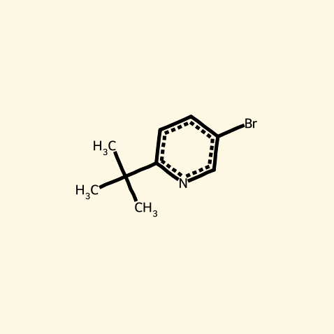 CC(C)(C)c1ccc(Br)cn1